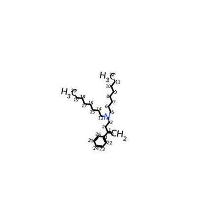 C=C(CCN(CCCCCCCC)CCCCCCCC)c1ccccc1